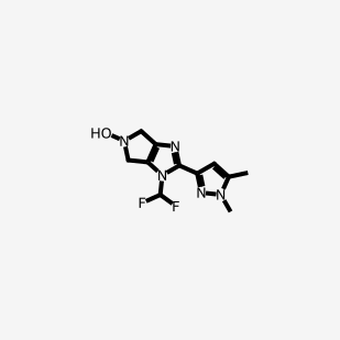 Cc1cc(-c2nc3c(n2C(F)F)CN(O)C3)nn1C